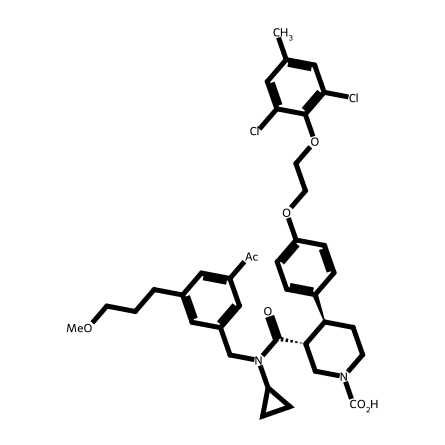 COCCCc1cc(CN(C(=O)[C@H]2CN(C(=O)O)CC[C@@H]2c2ccc(OCCOc3c(Cl)cc(C)cc3Cl)cc2)C2CC2)cc(C(C)=O)c1